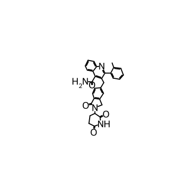 Cc1ccccc1-c1nc2ccccc2c(C(N)=O)c1Cc1ccc2c(c1)CN(C1CCC(=O)NC1=O)C2=O